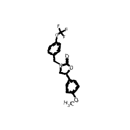 COc1ccc(C2CN(Cc3ccc(OC(F)(F)F)cc3)C(=O)O2)cc1